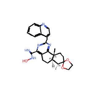 C[C@@H]1[C@H]2CCc3c(C(=N)NO)nc(-c4ccnc5ccccc45)nc3[C@]2(C)CCC12OCCO2